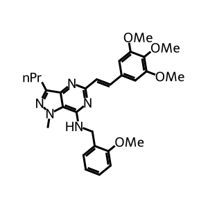 CCCc1nn(C)c2c(NCc3ccccc3OC)nc(C=Cc3cc(OC)c(OC)c(OC)c3)nc12